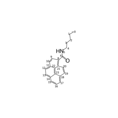 [CH2]CCCCNC(=O)c1ccc2ccc3cccc4ccc1c2c34